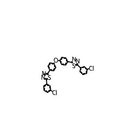 Clc1cccc(-c2nnc(-c3ccc(Oc4ccc(-c5nnc(-c6cccc(Cl)c6)s5)cc4)cc3)s2)c1